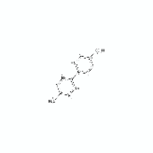 Cc1nnc(-c2ccc(C(=O)O)cn2)nn1